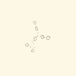 N=C(/C=C(\NCNC(N)c1ccc(C(/C=C(\N)c2ccc(-c3ccccc3)cc2)=N/Cc2ccc(-c3ccccc3)cc2)cc1)c1ccccc1)c1ccccc1